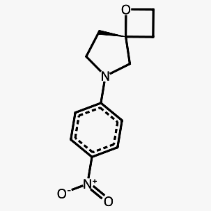 O=[N+]([O-])c1ccc(N2CC[C@@]3(CCO3)C2)cc1